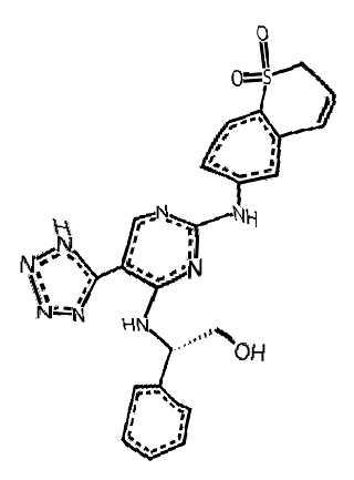 O=S1(=O)CC=Cc2cc(Nc3ncc(-c4nnn[nH]4)c(N[C@H](CO)c4ccccc4)n3)ccc21